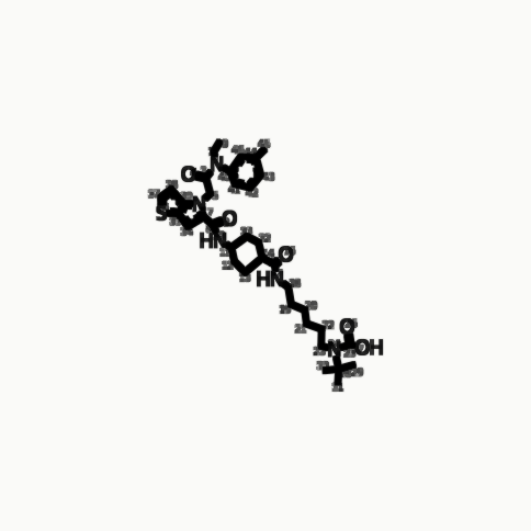 CCN(C(=O)Cn1c(C(=O)NC2CCC(C(=O)NCCCCCCN(C(=O)O)C(C)(C)C)CC2)cc2sccc21)c1cccc(C)c1